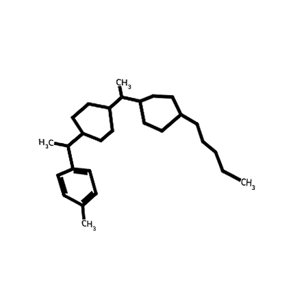 CCCCCC1CCC(C(C)C2CCC(C(C)c3ccc(C)cc3)CC2)CC1